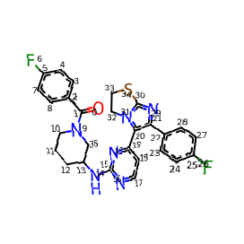 O=C(c1ccc(F)cc1)N1CCCC(Nc2nccc(-c3c(-c4ccc(F)cc4)nc4n3CCS4)n2)C1